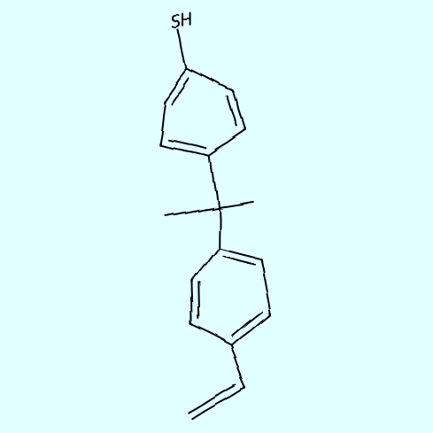 C=Cc1ccc(C(C)(C)c2ccc(S)cc2)cc1